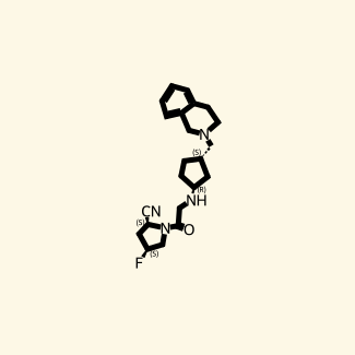 N#C[C@@H]1C[C@H](F)CN1C(=O)CN[C@@H]1CC[C@H](CN2CCc3ccccc3C2)C1